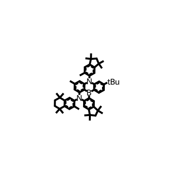 Cc1cc2c3c(c1)N(c1cc4c(cc1C)C(C)(C)CCC4(C)C)c1cc4c(cc1B3c1ccc(C(C)(C)C)cc1N2c1cc2c(cc1C)C(C)(C)CC2(C)C)C(C)(C)CC4(C)C